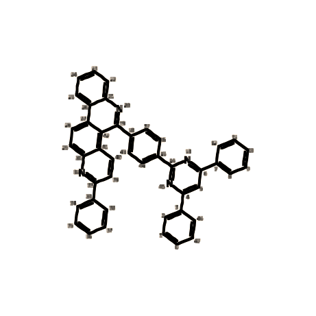 c1ccc(-c2cc(-c3ccccc3)nc(-c3ccc(-c4nc5ccccc5c5ccc6nc(-c7ccccc7)ccc6c45)cc3)n2)cc1